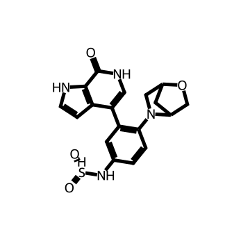 O=c1[nH]cc(-c2cc(N[SH](=O)=O)ccc2N2CC3CC2CO3)c2cc[nH]c12